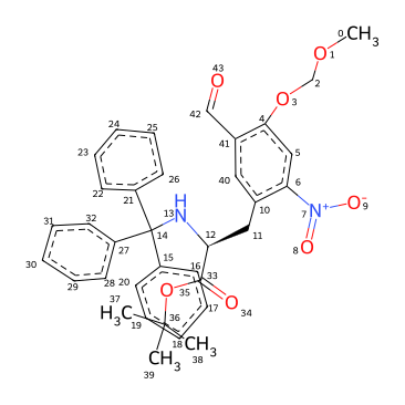 COCOc1cc([N+](=O)[O-])c(C[C@H](NC(c2ccccc2)(c2ccccc2)c2ccccc2)C(=O)OC(C)(C)C)cc1C=O